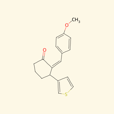 COc1ccc(C=C2C(=O)CCCC2c2ccsc2)cc1